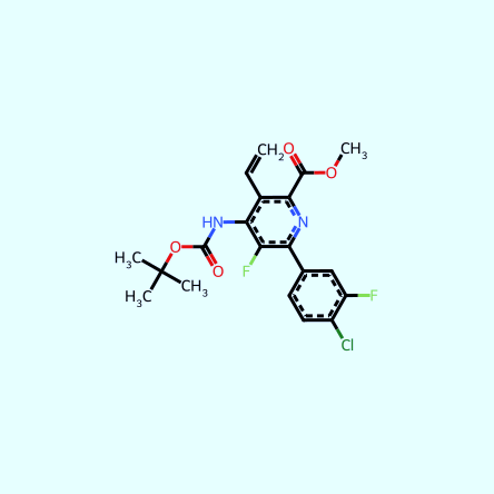 C=Cc1c(C(=O)OC)nc(-c2ccc(Cl)c(F)c2)c(F)c1NC(=O)OC(C)(C)C